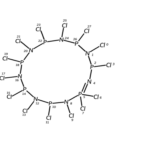 ClN1P(Cl)N=P(Cl)(Cl)N(Cl)P(Cl)N(Cl)P(Cl)N(Cl)P(Cl)N(Cl)P(Cl)N(Cl)P1Cl